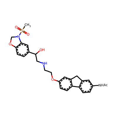 CC(=O)Nc1ccc2c(c1)Cc1cc(OCCNCC(O)c3ccc4c(c3)N(S(C)(=O)=O)CO4)ccc1-2